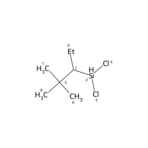 CCC([SiH](Cl)Cl)C(C)(C)C